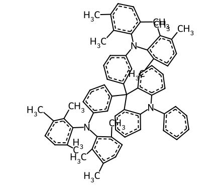 Cc1ccc(C)c(N(c2cccc(C3(c4cccc(N(c5c(C)ccc(C)c5C)c5c(C)ccc(C)c5C)c4)c4ccccc4N(c4ccccc4)c4ccccc43)c2)c2c(C)ccc(C)c2C)c1C